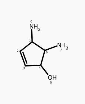 NC1C=CC(O)C1N